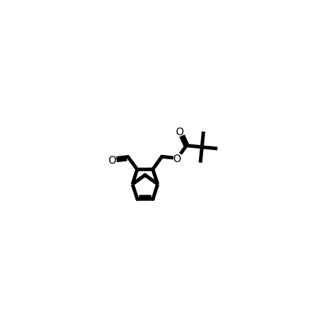 CC(C)(C)C(=O)OCC1C2C=CC(C2)C1C=O